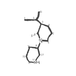 CC(C)C1CCCN(C2CCCNC2)C1